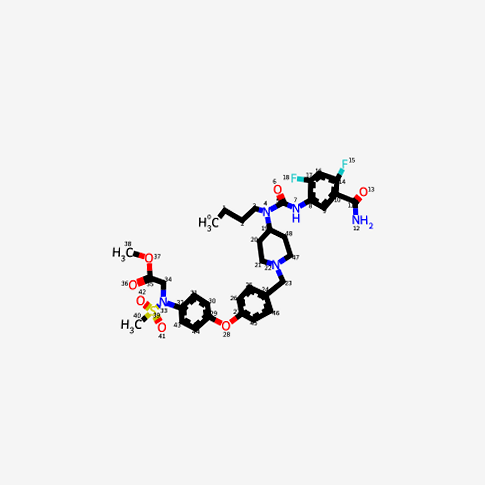 CCCCN(C(=O)Nc1cc(C(N)=O)c(F)cc1F)C1CCN(Cc2ccc(Oc3ccc(N(CC(=O)OC)S(C)(=O)=O)cc3)cc2)CC1